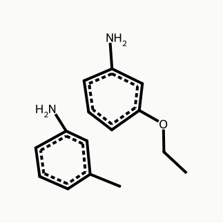 CCOc1cccc(N)c1.Cc1cccc(N)c1